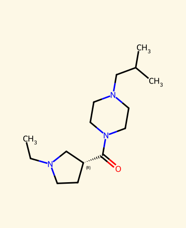 CCN1CC[C@@H](C(=O)N2CCN(CC(C)C)CC2)C1